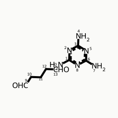 Nc1nc(N)nc(N)n1.O=CCCCC=O